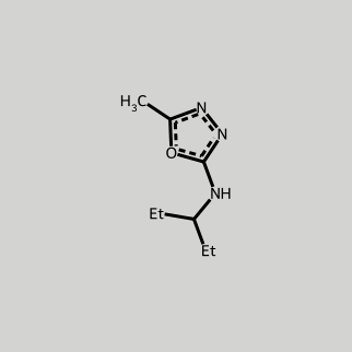 CCC(CC)Nc1nnc(C)o1